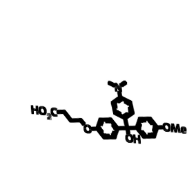 COc1ccc(C(O)(c2ccc(OCCCC(=O)O)cc2)c2ccc(N(C)C)cc2)cc1